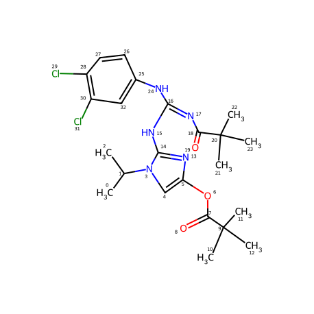 CC(C)n1cc(OC(=O)C(C)(C)C)nc1N/C(=N\C(=O)C(C)(C)C)Nc1ccc(Cl)c(Cl)c1